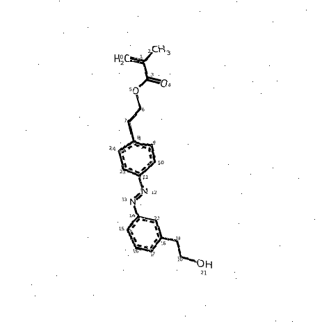 C=C(C)C(=O)OCCc1ccc(N=Nc2cccc(C[CH]O)c2)cc1